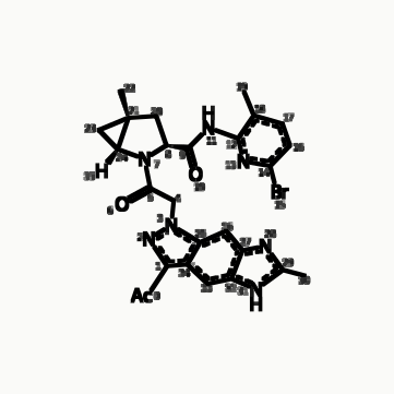 CC(=O)c1nn(CC(=O)N2[C@H](C(=O)Nc3nc(Br)ccc3C)C[C@@]3(C)C[C@@H]23)c2cc3nc(C)[nH]c3cc12